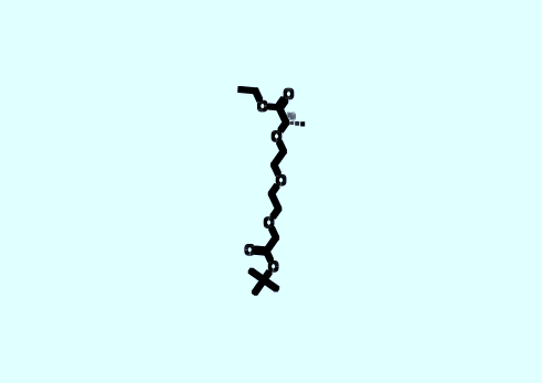 CCOC(=O)[C@H](C)OCCOCCOCC(=O)OC(C)(C)C